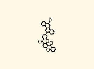 N#Cc1cc2c3ccccc3c(-c3ccc4c(=O)c5ccc6oc7ccccc7c(=O)c6c5oc4c3)cc2c2ccccc12